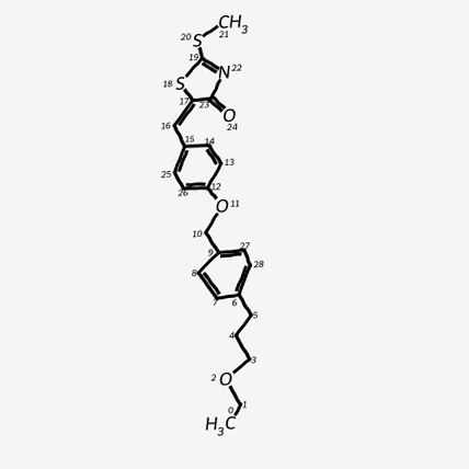 CCOCCCc1ccc(COc2ccc(C=C3SC(SC)=NC3=O)cc2)cc1